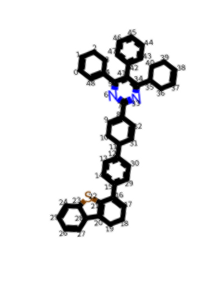 C1=CCCC(c2nc(C3=CCC(c4ccc(C5=CCCC6=C5SC5C=CC=CC65)cc4)C=C3)nc(C3CC=CCC3)c2-c2ccccc2)=C1